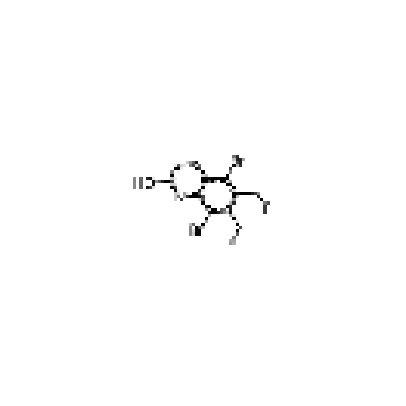 Oc1ccc2c(Br)c(CF)c(CF)c(Br)c2n1